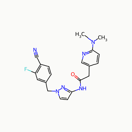 CN(C)c1ccc(CC(=O)Nc2ccn(Cc3ccc(C#N)c(F)c3)n2)cn1